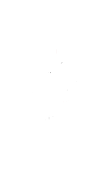 Cc1c(C(C)C)oc2ccc(Br)cc12